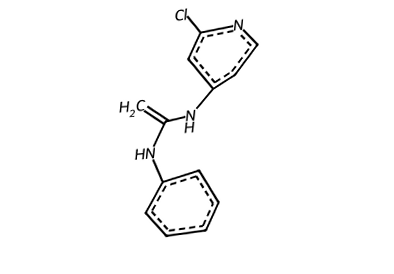 C=C(Nc1ccccc1)Nc1ccnc(Cl)c1